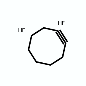 C1#CCCCCCC1.F.F